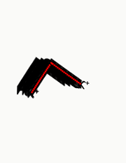 Cl.Cl.Cl.Cl.Cl.Cl.Cl.Cl.Cl.Cl.Cl.Cl.Cl.Cl.Cl.Cl.Cl.Cl.Cl.Cl.Cl.Cl.Cl.Cl.Cl.Cl.Cl.Cl.Cl.Cl.Cl.Cl.Cl.Cl.Cl.Cl.Cl.Cl.Cl.Cl.Cl.Cl.Cl.Cl.Cl.Cl.Cl.Cl.Cl.Cl.Cl.Cl.Cl.Cl.Cl.Cl.Cl.Cl.Cl.Cl.Cl.Cl.Cl.Cl.Cl.Cl.Cl.Cl.Cl.Cl.Cl.Cl.[Cl-].[Cl-].[Cl-].[K+].[K+].[K+]